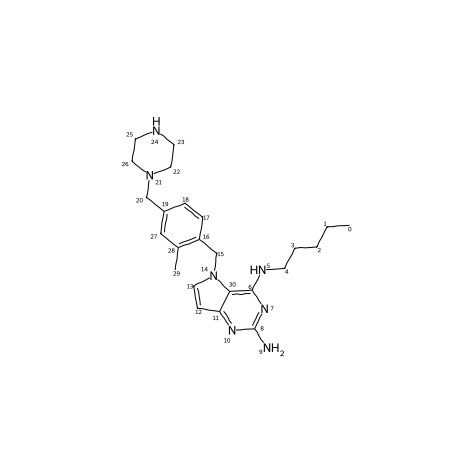 CCCCCNc1nc(N)nc2ccn(Cc3ccc(CN4CCNCC4)cc3C)c12